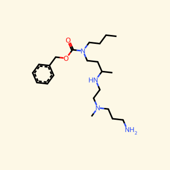 CCCCN(CCC(C)NCCN(C)CCCN)C(=O)OCc1ccccc1